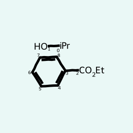 CC(C)O.CCOC(=O)c1ccccc1